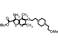 COCCN1CCN(CCOc2c(C)nc3sc(C(=O)OC(C)(C)C)c(N)c3c2C)CC1